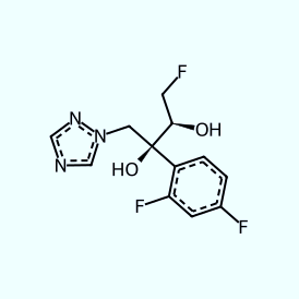 O[C@H](CF)[C@@](O)(Cn1cncn1)c1ccc(F)cc1F